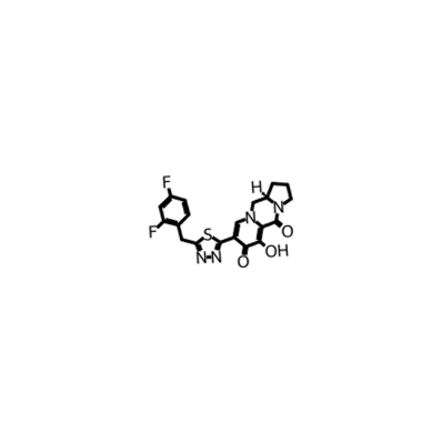 O=C1c2c(O)c(=O)c(-c3nnc(Cc4ccc(F)cc4F)s3)cn2C[C@@H]2CCCN12